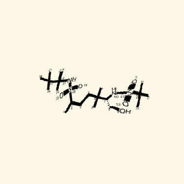 CC(CCC(C)(C)[C@@H](CO)NS(=O)(=O)C(C)(C)C)S(=O)(=O)NC(C)(C)C(C)(C)C